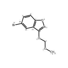 COCOc1noc2ccc(Br)cc12